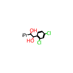 CC(C)C(O)[C@H](O)c1ccc(Cl)cc1Cl